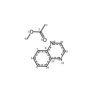 COC(C)=O.c1ccc2nccnc2c1